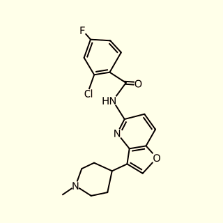 CN1CCC(c2coc3ccc(NC(=O)c4ccc(F)cc4Cl)nc23)CC1